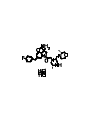 C[C@@H]1CN(CC(=O)N2CC(C)(C(N)=O)c3ccc(Cc4ccc(F)cc4)cc32)[C@@H](CN2CCOC[C@H]2C)CN1.Cl.Cl.Cl